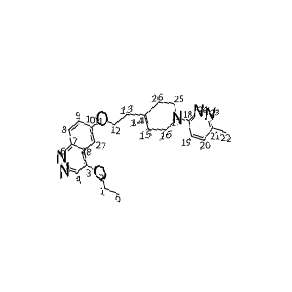 CCOc1cnnc2ccc(OCCC3CCN(c4ccc(C)nn4)CC3)cc12